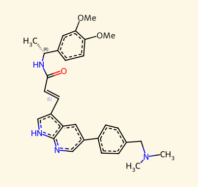 COc1ccc([C@@H](C)NC(=O)/C=C/c2c[nH]c3ncc(-c4ccc(CN(C)C)cc4)cc23)cc1OC